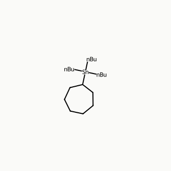 CCC[CH2][Sn]([CH2]CCC)([CH2]CCC)[CH]1CCCCCC1